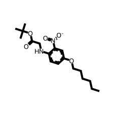 CCCCCCOc1ccc(NCC(=O)OC(C)(C)C)c([N+](=O)[O-])c1